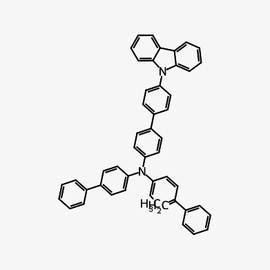 C=C(/C=C\C(=C/C)N(c1ccc(-c2ccccc2)cc1)c1ccc(-c2ccc(-n3c4ccccc4c4ccccc43)cc2)cc1)c1ccccc1